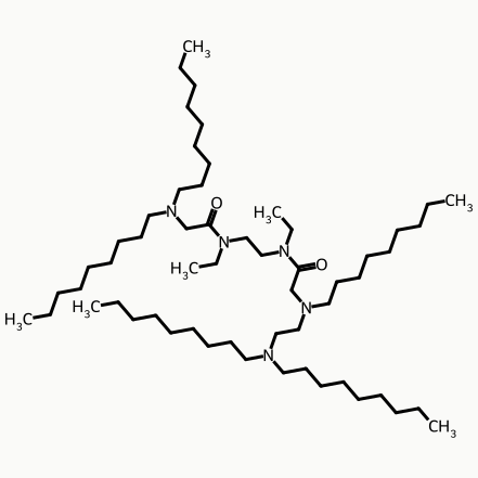 CCCCCCCCCN(CCCCCCCCC)CCN(CCCCCCCCC)CC(=O)N(CC)CCN(CC)C(=O)CN(CCCCCCCCC)CCCCCCCCC